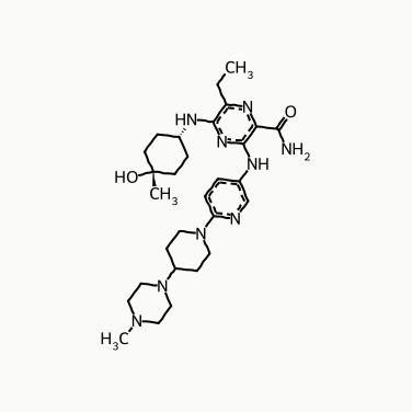 CCc1nc(C(N)=O)c(Nc2ccc(N3CCC(N4CCN(C)CC4)CC3)nc2)nc1N[C@H]1CC[C@@](C)(O)CC1